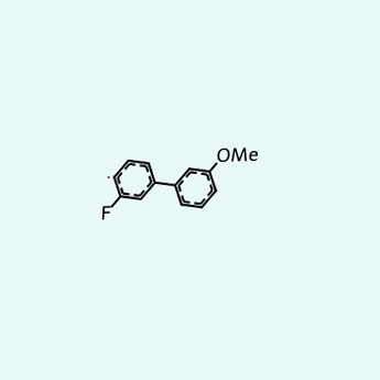 COc1cccc(-c2cc[c]c(F)c2)c1